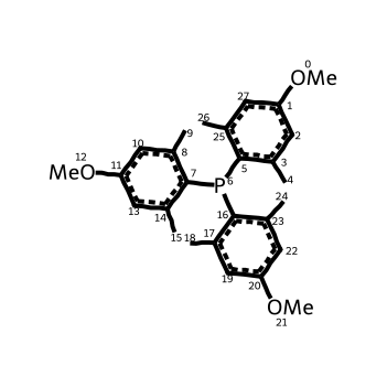 COc1cc(C)c(P(c2c(C)cc(OC)cc2C)c2c(C)cc(OC)cc2C)c(C)c1